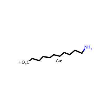 NCCCCCCCCCCC(=O)O.[Au]